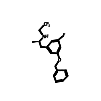 C[C@H](Cc1cc(F)cc(OCc2ccccc2)c1)NCC(F)(F)F